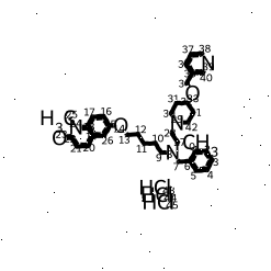 Cc1ccccc1CN(CCCCCOc1ccc2c(ccc(=O)n2C)c1)CCN1CCC(OCc2cccnc2)CC1.Cl.Cl.Cl